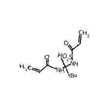 C=CC(=O)NC(NC(=O)C=C)(C(C)(C)C)S(=O)(=O)O